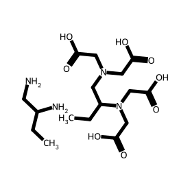 CCC(CN(CC(=O)O)CC(=O)O)N(CC(=O)O)CC(=O)O.CCC(N)CN